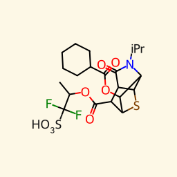 CC(C)N1C(=O)C2C3SC(C(OC(=O)C4CCCCC4)C31)C2C(=O)OC(C)C(F)(F)S(=O)(=O)O